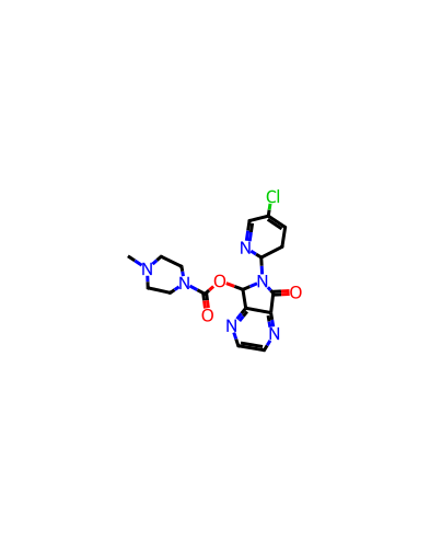 CN1CCN(C(=O)OC2c3nccnc3C(=O)N2C2CC=C(Cl)C=N2)CC1